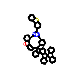 c1ccc(C2(c3ccc4c(c3)-c3ccccc3C43c4ccccc4-c4ccccc43)c3cccc(c3)-c3nc(-c4ccc5sc6ccccc6c5c4)nc(n3)-c3cccc4oc5ccc2cc5c34)cc1